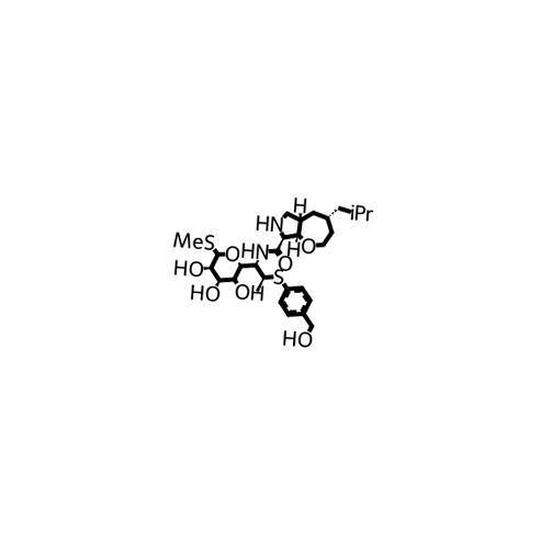 CSC1O[C@H]([C@H](NC(=O)[C@H]2NC[C@@H]3C[C@H](CC(C)C)CCO[C@H]32)[C@H](C)Sc2ccc(CO)cc2)C(O)[C@@H](O)[C@H]1O